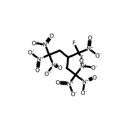 O=[N+]([O-])C(F)(F)C(CC([N+](=O)[O-])([N+](=O)[O-])[N+](=O)[O-])CC([N+](=O)[O-])([N+](=O)[O-])[N+](=O)[O-]